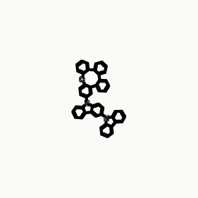 c1ccc2c(c1)oc1ccc(-n3c4ccccc4c4cc(-n5c6ccccc6c6ccccc65)ccc43)cc1c1ccccc1c1ccccc21